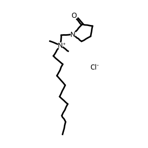 CCCCCCCCC[N+](C)(C)CN1CCCC1=O.[Cl-]